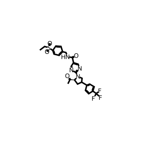 CCS(=O)(=O)c1ccc(CNC(=O)c2cnc(N3CC(c4ccc(C(F)(F)F)cc4)C[C@H]3C(C)=O)nc2)cc1